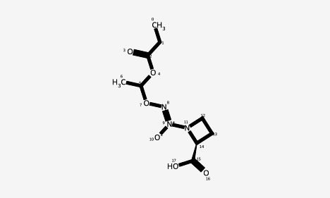 CCC(=O)OC(C)ON=[N+]([O-])N1CC[C@H]1C(=O)O